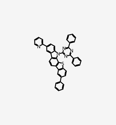 c1ccc(-c2ccc3sc4c(ccc5c6cc(-c7ccccn7)ccc6n(-c6nc(-c7ccccc7)nc(-c7ccccc7)n6)c54)c3c2)cc1